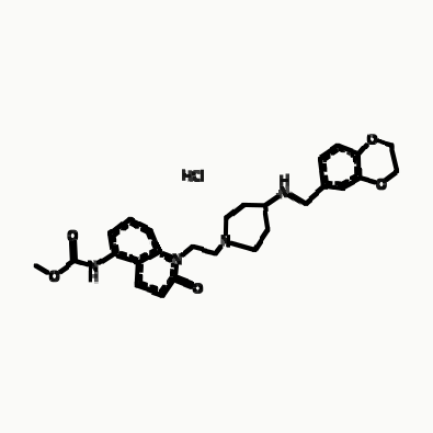 COC(=O)Nc1cccc2c1ccc(=O)n2CCN1CCC(NCc2ccc3c(c2)OCCO3)CC1.Cl